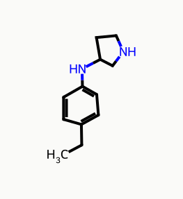 CCc1ccc(NC2CCNC2)cc1